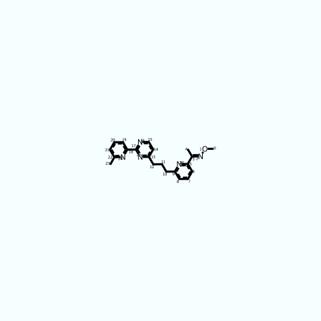 CO/N=C(\C)c1cccc(CCCc2ccnc(-c3cccc(C)n3)n2)n1